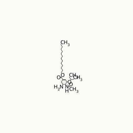 CCCCCCCCCCCCCCOC(=O)C1=C[C@@H](OC(CC)CC)[C@H](NC(C)=O)[C@@H](N)C1